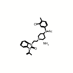 C=C(C)n1c(=O)n(CCN2CCC(N(C(C)=O)c3ccc(C)c(Cl)c3)CC2)c2ccccc21.N